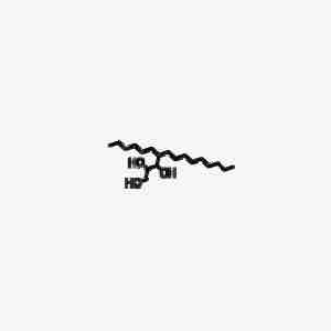 CCCCCCCCCC(CCCCCC)C(O)C(O)CO